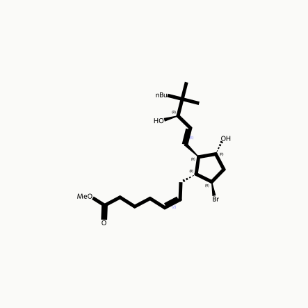 CCCCC(C)(C)[C@H](O)/C=C/[C@@H]1[C@@H](C/C=C\CCCC(=O)OC)[C@H](Br)C[C@H]1O